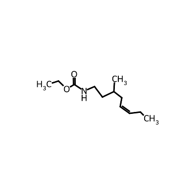 CC/C=C\CC(C)CCNC(=O)OCC